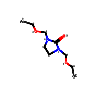 CC(=O)COCN1CCN(COCC(C)=O)C1=O